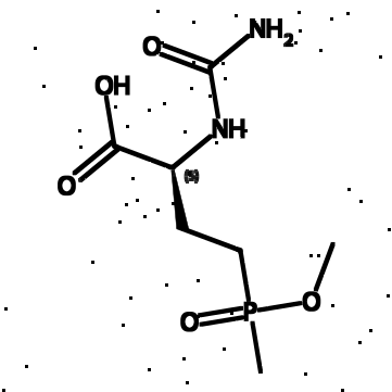 COP(C)(=O)CC[C@H](NC(N)=O)C(=O)O